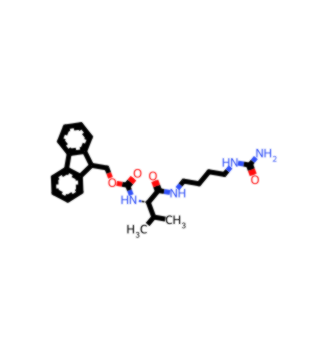 CC(C)[C@H](NC(=O)OCC1c2ccccc2-c2ccccc21)C(=O)NCCCCNC(N)=O